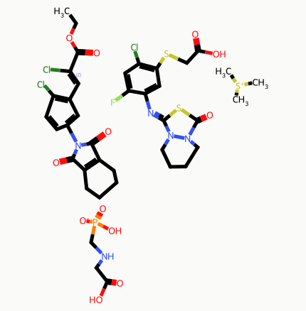 CCOC(=O)/C(Cl)=C/c1cc(N2C(=O)C3=C(CCCC3)C2=O)ccc1Cl.C[S+](C)C.O=C(O)CNCP(=O)([O-])O.O=C(O)CSc1cc(N=c2sc(=O)n3n2CCCC3)c(F)cc1Cl